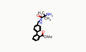 COC(=O)c1ccccc1-c1ccc(CNC(=O)C(C)(C)N)cc1